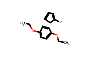 CCOc1ccc(OCC)cc1.[Fe][C]1=CC=CC1